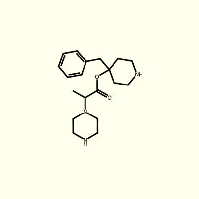 CC(C(=O)OC1(Cc2ccccc2)CCNCC1)N1CCNCC1